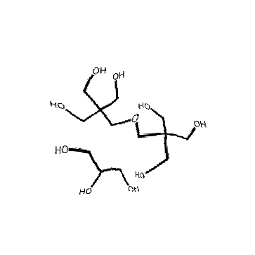 OCC(CO)(CO)COCC(CO)(CO)CO.OCC(O)CO